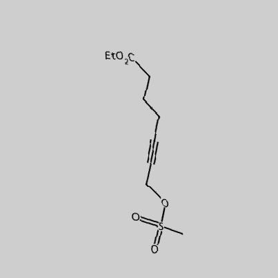 CCOC(=O)CCCC#CCOS(C)(=O)=O